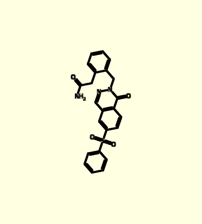 NC(=O)Cc1ccccc1Cn1ncc2cc(S(=O)(=O)c3ccccc3)ccc2c1=O